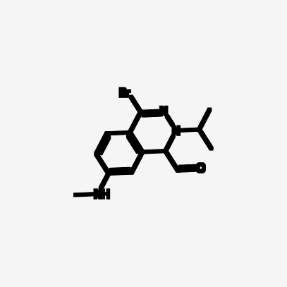 CNc1ccc2c(c1)C(C=O)N(C(C)C)N=C2Br